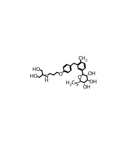 CS[C@H]1OC(c2ccc(C)c(Cc3ccc(OCCCNC(CO)CO)cc3)c2)[C@H](O)[C@@H](O)[C@@H]1O